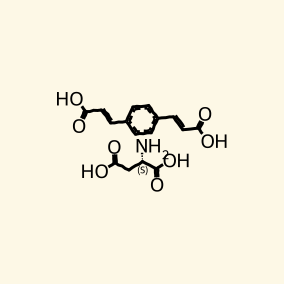 N[C@@H](CC(=O)O)C(=O)O.O=C(O)C=Cc1ccc(C=CC(=O)O)cc1